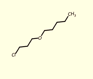 CCCCCOCCCCl